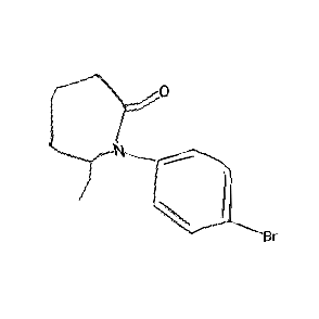 CC1CCCC(=O)N1c1ccc(Br)cc1